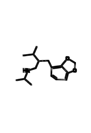 CC(C)NCC(Cc1cccc2c1OCO2)C(C)C